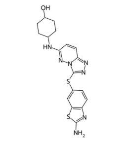 Nc1nc2ccc(Sc3nnc4ccc(NC5CCC(O)CC5)nn34)cc2s1